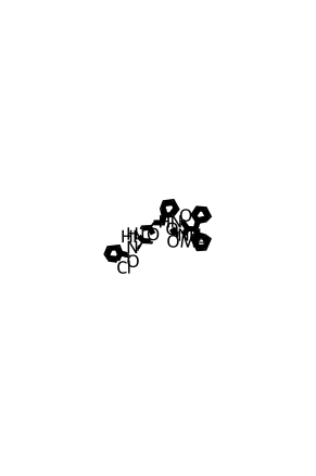 COC(=O)NC(C(=O)Nc1ccccc1CC[C@@H]1CN[C@H](CNC(=O)c2ccccc2Cl)CO1)C(c1ccccc1)c1ccccc1